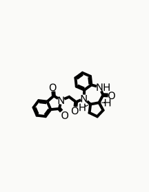 O=C1Nc2ccccc2N(C(=O)CN2C(=O)c3ccccc3C2=O)[C@@H]2CCC[C@H]12